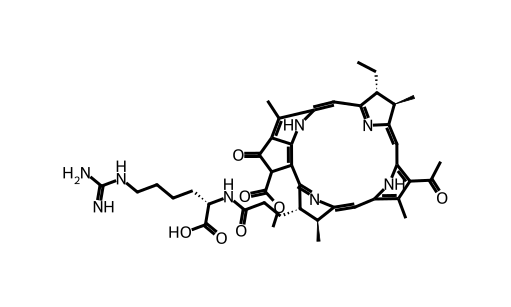 CC[C@H]1c2cc3[nH]c4c(c3C)C(=O)C(C(=O)OC)c4c3nc(cc4[nH]c(cc(n2)[C@@H]1C)c(C(C)=O)c4C)[C@@H](C)[C@@H]3CCC(=O)N[C@@H](CCCCNC(=N)N)C(=O)O